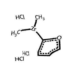 Cl.Cl.Cl.[CH3][Zr]([CH3])[c]1ccco1